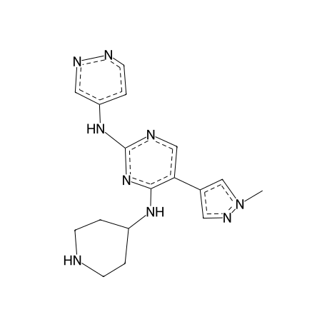 Cn1cc(-c2cnc(Nc3ccnnc3)nc2NC2CCNCC2)cn1